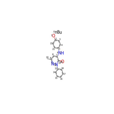 CCCCOc1ccc(Nc2cc(C)nn(-c3ccccc3)c2=O)cc1